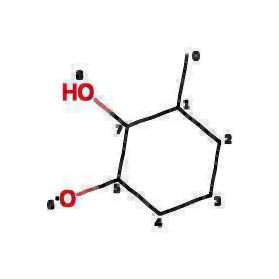 CC1CCCC([O])C1O